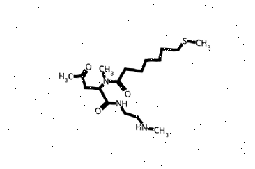 CNCCNC(=O)C(CC(C)=O)N(C)C(=O)CCCCCCSC